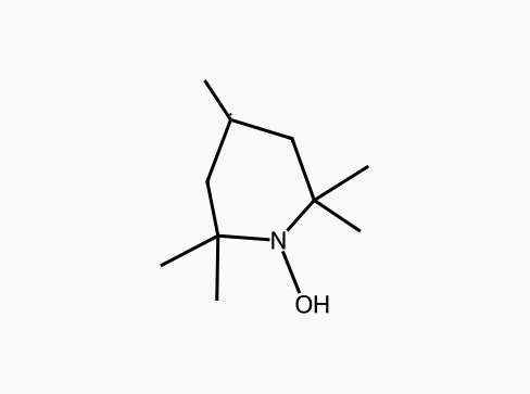 C[C]1CC(C)(C)N(O)C(C)(C)C1